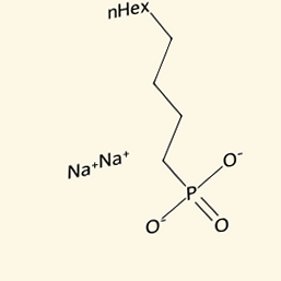 CCCCCCCCCCP(=O)([O-])[O-].[Na+].[Na+]